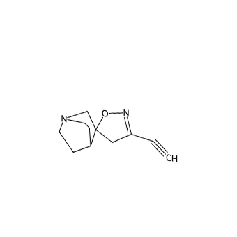 C#CC1=NOC2(C1)CN1CCC2CC1